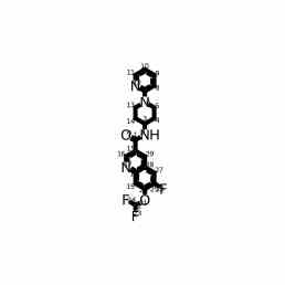 O=C(NC1CCN(c2ccccn2)CC1)c1cnc2cc(OC(F)F)c(F)cc2c1